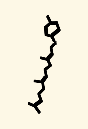 CC(C)=CCC/C(C)=C/CC/C(C)=C/CSc1ccc(C)cc1